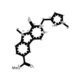 COC(=O)c1ccc2c(c1)c1cnn(Cc3ccn(C)n3)c(=O)c1n2C